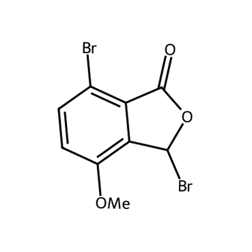 COc1ccc(Br)c2c1C(Br)OC2=O